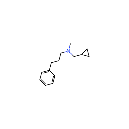 CN(CCCc1ccccc1)CC1CC1